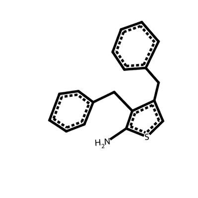 Nc1scc(Cc2ccccc2)c1Cc1ccccc1